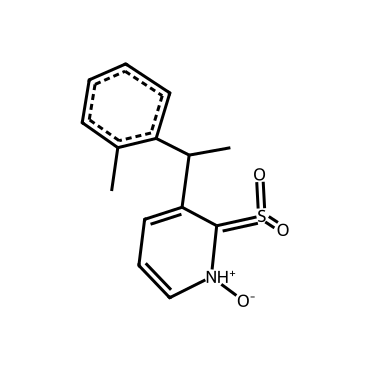 Cc1ccccc1C(C)C1=CC=C[NH+]([O-])C1=S(=O)=O